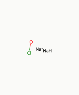 [Na+].[NaH].[O-]Cl